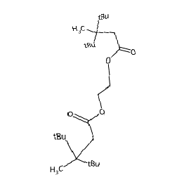 CC(C)(C)C(C)(CC(=O)OCCOC(=O)CC(C)(C(C)(C)C)C(C)(C)C)C(C)(C)C